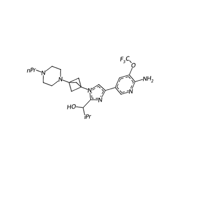 CCCN1CCN(C23CC(n4cc(-c5cnc(N)c(OC(F)(F)F)c5)nc4C(O)C(C)C)(C2)C3)CC1